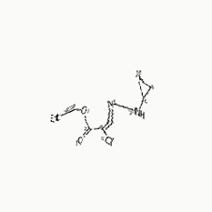 CCOC(=O)C(Cl)=NNC1CC1